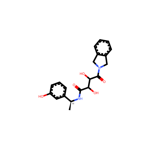 C[C@H](NC(=O)C(O)C(O)C(=O)N1Cc2ccccc2C1)c1cccc(O)c1